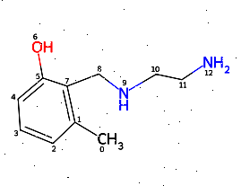 Cc1cccc(O)c1CNCCN